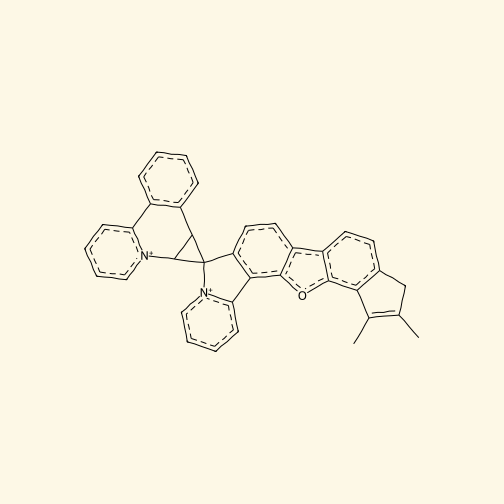 CC1=C(C)c2c(ccc3c2oc2c4c(ccc23)C2(C3c5ccccc5-c5cccc[n+]5C32)[n+]2ccccc2-4)C1